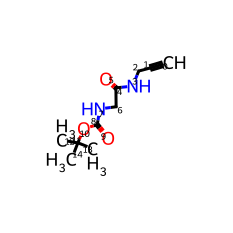 C#CCNC(=O)CNC(=O)OC(C)(C)C